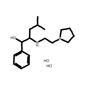 CC(C)CC(NCCN1CCCC1)C(O)c1ccccc1.Cl.Cl